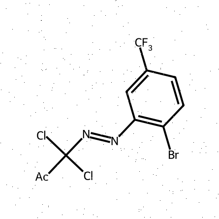 CC(=O)C(Cl)(Cl)N=Nc1cc(C(F)(F)F)ccc1Br